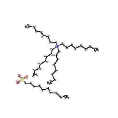 CCCCCCCCCCS(=O)(=O)[O-].CCCCCCCC[N+](CCCCCCCC)(CCCCCCCC)CCCCCCCC